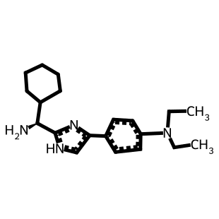 CCN(CC)c1ccc(-c2c[nH]c([C@@H](N)C3CCCCC3)n2)cc1